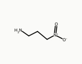 NCCC[N+](=O)[O-]